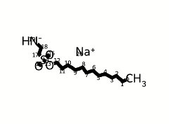 CCCCCCCCCCCCCOS(=O)(=O)CC[NH-].[Na+]